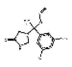 C=NOC(c1cc(Cl)cc(C(F)(F)F)c1)(N1CNC(=O)C1)C(F)(F)F